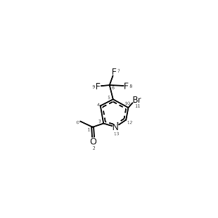 CC(=O)c1cc(C(F)(F)F)c(Br)cn1